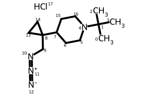 CC(C)(C)N1CCC(C2(CN=[N+]=[N-])CC2)CC1.Cl